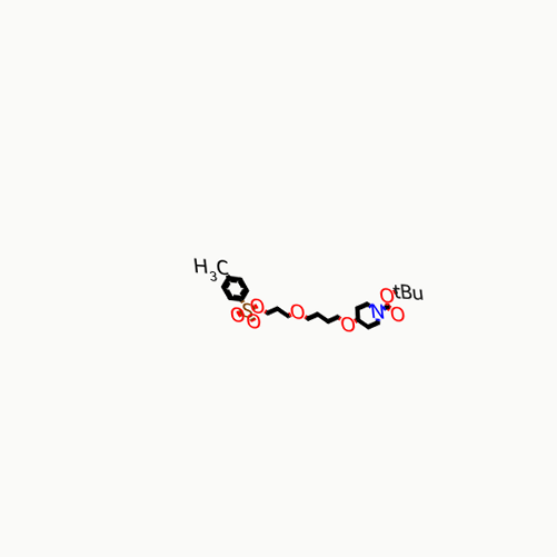 Cc1ccc(S(=O)(=O)OCCCOCCCCOC2CCN(C(=O)OC(C)(C)C)CC2)cc1